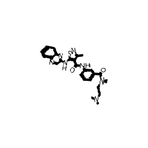 Cc1nsc(Nc2cnc3ccccc3n2)c1C(=O)Nc1cccc(C(=O)N(C)CCN(C)C)c1